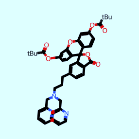 Cc1cccc(CN(CCCc2ccc3c(c2)C2(OC3=O)c3ccc(OC(=O)C(C)(C)C)cc3Oc3cc(OC(=O)C(C)(C)C)ccc32)Cc2ccccn2)n1